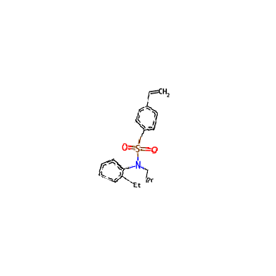 C=Cc1ccc(S(=O)(=O)N(CC(C)C)c2ccccc2CC)cc1